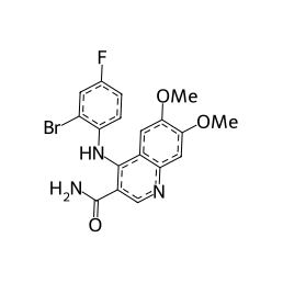 COc1cc2ncc(C(N)=O)c(Nc3ccc(F)cc3Br)c2cc1OC